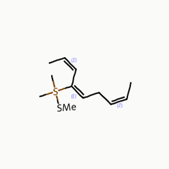 C/C=C\C/C=C(\C=C/C)S(C)(C)SC